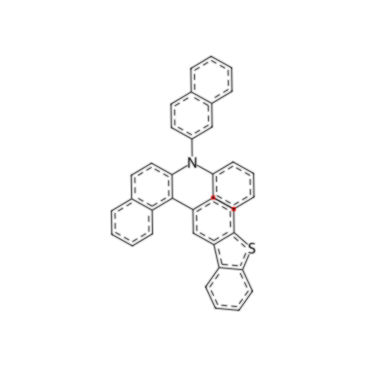 c1ccc(N(c2ccc3ccccc3c2)c2ccc3ccccc3c2-c2ccc3sc4ccccc4c3c2)cc1